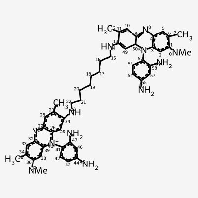 CNc1cc2c(cc1C)N=C1C=C(C)C(NCCCCCCCCNc3cc4c(cc3C)nc3cc(C)c(NC)cc3[n+]4-c3ccc(N)cc3N)=CC1N2c1ccc(N)cc1N